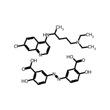 CCN(CC)CCCC(C)Nc1ccnc2cc(Cl)ccc12.O=C(O)c1cc(/N=N/c2ccc(O)c(C(=O)O)c2)ccc1O